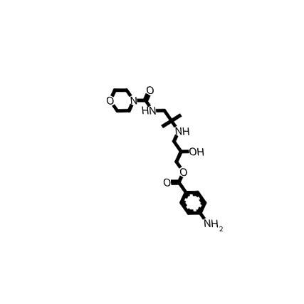 CC(C)(CNC(=O)N1CCOCC1)NCC(O)COC(=O)c1ccc(N)cc1